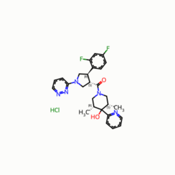 C[C@@H]1CN(C(=O)[C@@H]2CN(c3cccnn3)C[C@H]2c2ccc(F)cc2F)C[C@H](C)C1(O)c1ccccn1.Cl